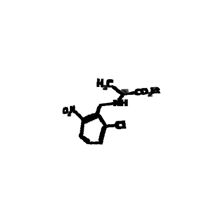 CCOC(=O)[C@H](C)NCc1c(Cl)cccc1[N+](=O)[O-]